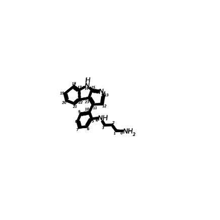 NCCCNc1ccccc1-c1ccnc2[nH]c3ccccc3c12